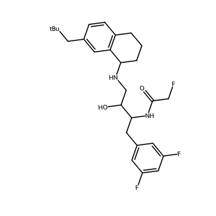 CC(C)(C)Cc1ccc2c(c1)C(NCC(O)C(Cc1cc(F)cc(F)c1)NC(=O)CF)CCC2